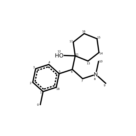 Cc1cccc(C(CN(C)C)C2(O)CCCCC2)c1